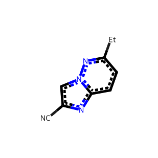 CCc1ccc2nc(C#N)cn2n1